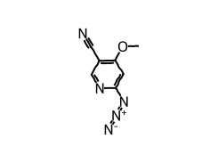 COc1cc(N=[N+]=[N-])ncc1C#N